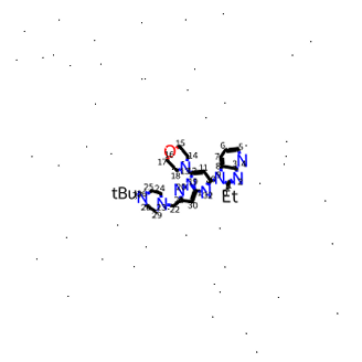 CCc1nc2ncccc2n1-c1cc(N2CCOCC2)n2nc(CN3CCN(C(C)(C)C)CC3)cc2n1